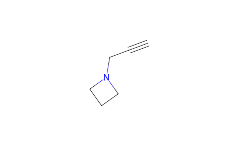 C#CCN1CCC1